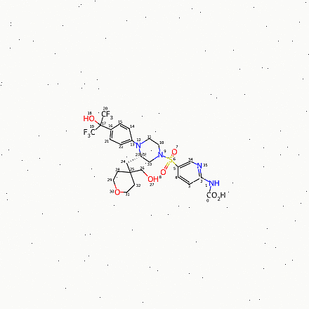 O=C(O)Nc1ccc(S(=O)(=O)N2CCN(c3ccc(C(O)(C(F)(F)F)C(F)(F)F)cc3)[C@@H](CC3(CO)CCOCC3)C2)cn1